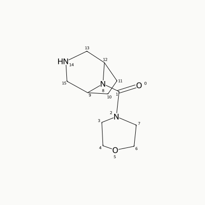 O=C(N1CCOCC1)N1C2CCC1CNC2